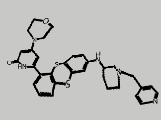 O=c1cc(N2CCOCC2)cc(-c2cccc3c2Sc2ccc(NC4CCCN(Cc5ccncc5)C4)cc2S3)[nH]1